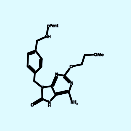 CCCCCNCc1ccc(Cn2c(=O)[nH]c3c(N)nc(OCCOC)nc32)cc1